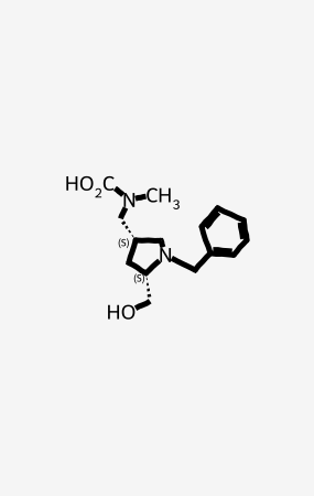 CN(C[C@H]1C[C@@H](CO)N(Cc2ccccc2)C1)C(=O)O